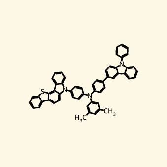 Cc1cc(C)cc(N(c2ccc(-c3ccc4c(c3)c3ccccc3n4-c3ccccc3)cc2)c2ccc(-n3c4ccccc4c4c5sc6ccccc6c5ccc43)cc2)c1